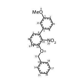 COc1cccc(-c2ccnc(OCc3ccccc3)c2[N+](=O)[O-])c1